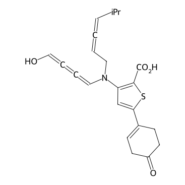 CC(C)C=C=CCN(C=C=C=CO)c1cc(C2=CCC(=O)CC2)sc1C(=O)O